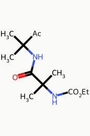 CCOC(=O)NC(C)(C)C(=O)NC(C)(C)C(C)=O